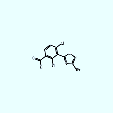 CC(C)c1noc(-c2c(Cl)ccc(C(=O)Cl)c2Cl)n1